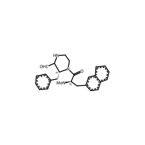 CN[C@H](Cc1ccc2ccccc2c1)C(=O)N1CCNC(C=O)[C@H]1Cc1ccccc1